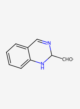 O=[C]C1N=Cc2ccccc2N1